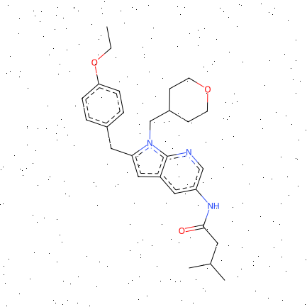 CCOc1ccc(Cc2cc3cc(NC(=O)CC(C)C)cnc3n2CC2CCOCC2)cc1